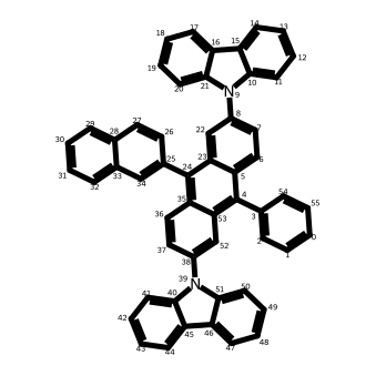 c1ccc(-c2c3ccc(-n4c5ccccc5c5ccccc54)cc3c(-c3ccc4ccccc4c3)c3ccc(-n4c5ccccc5c5ccccc54)cc23)cc1